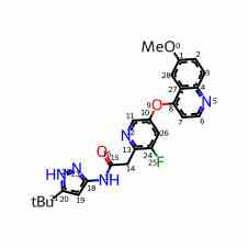 COc1ccc2nccc(Oc3cnc(CC(=O)Nc4cc(C(C)(C)C)[nH]n4)c(F)c3)c2c1